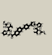 COC(=O)N[C@H](C(=O)N1CCC[C@H]1CNC(=O)c1ccc2cc(-c3ccc(-c4cnc([C@@H]5CCCN5C(=O)[C@@H](NC(=O)OC)C(C)C)[nH]4)cc3)ccc2c1)C(C)C